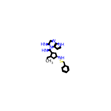 CCC1C[C@H](NSCc2ccccc2)CC1C(=N)n1c(=N)cnc2[nH]ccc21